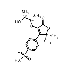 C[C@H](OC1=C(c2ccc(S(C)(=O)=O)cc2)C(C)(C)OC1=O)[C@@H](C)O